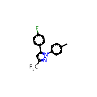 Cc1ccc(-n2nc(C(F)(F)F)cc2-c2ccc(F)cc2)cc1